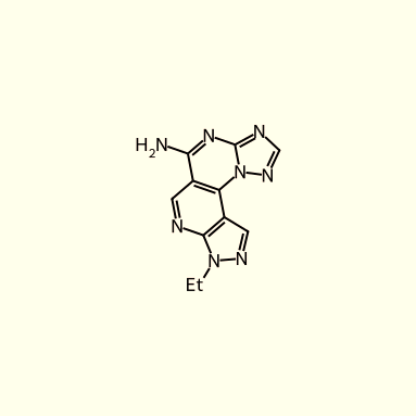 CCn1ncc2c1ncc1c(N)nc3ncnn3c12